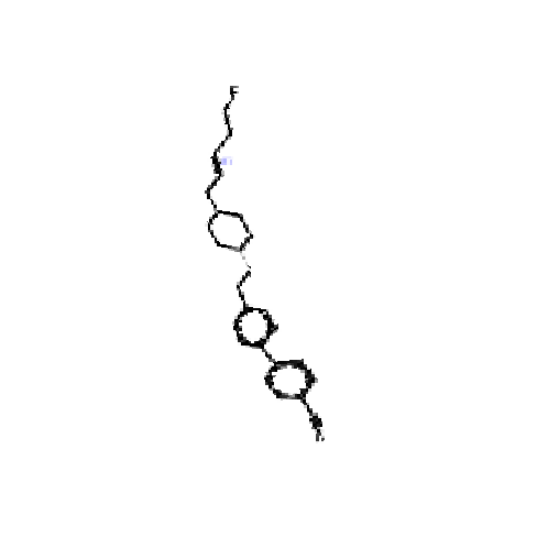 N#Cc1ccc(-c2ccc(CC[C@H]3CC[C@H](C/C=C/CCF)CC3)cc2)cc1